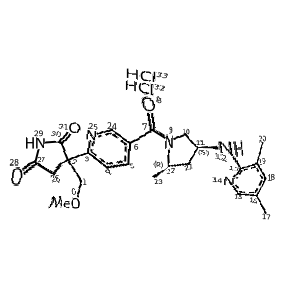 COCC1(c2ccc(C(=O)N3C[C@@H](Nc4ncc(C)cc4C)C[C@H]3C)cn2)CC(=O)NC1=O.Cl.Cl